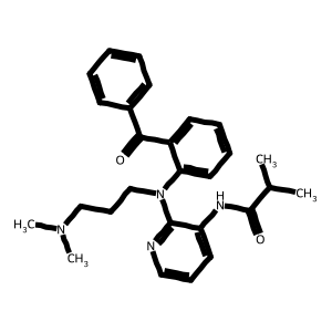 CC(C)C(=O)Nc1cccnc1N(CCCN(C)C)c1ccccc1C(=O)c1ccccc1